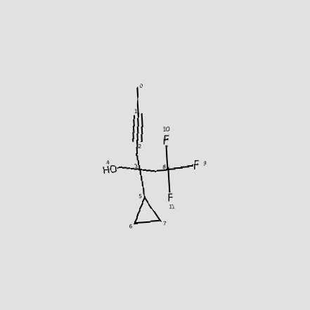 CC#CC(O)(C1CC1)C(F)(F)F